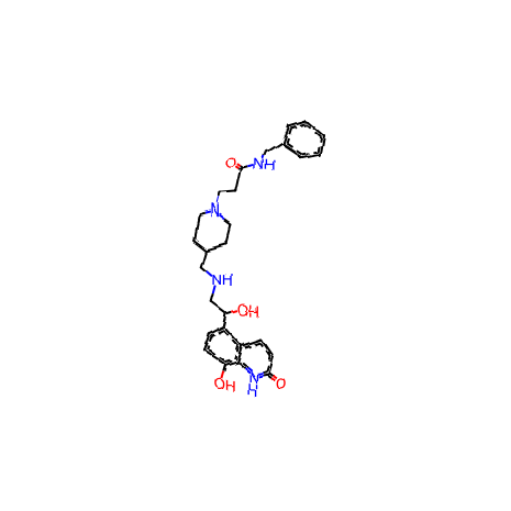 O=C(CCN1CCC(CNCC(O)c2ccc(O)c3[nH]c(=O)ccc23)CC1)NCc1ccccc1